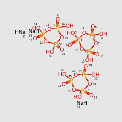 O=P1(O)OP(=O)(O)OP(=O)(O)O1.O=P1(O)OP(=O)(O)OP(=O)(O)O1.O=P1(O)OP(=O)(O)OP(=O)(O)O1.[NaH].[NaH].[NaH]